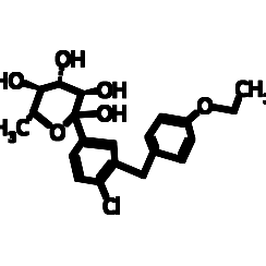 CCOc1ccc(Cc2cc(C3(O)O[C@H](C)[C@@H](O)[C@H](O)[C@H]3O)ccc2Cl)cc1